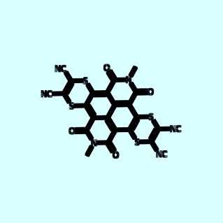 [C-]#[N+]c1sc2c(sc1[N+]#[C-])c1c(=O)n(C)c(=O)c3c4sc(C#N)c(C#N)sc4c4c(=O)n(C)c(=O)c2c4c31